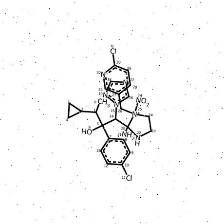 CC(C1CC1)C(O)(c1ccc(Cl)cc1)C(n1cncn1)C1(N)NCC[N+]1(Cc1ccc(Cl)nc1)[N+](=O)[O-]